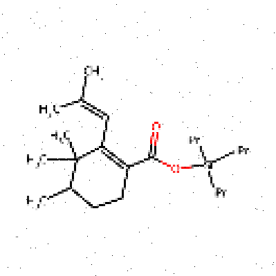 CC(C)=CC1=C(C(=O)O[Si](C(C)C)(C(C)C)C(C)C)CCC(C)C1(C)C